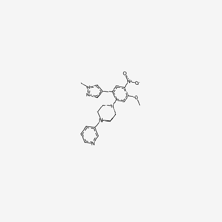 COc1cc(N2CCN(c3cccnc3)CC2)c(-c2cnn(C)c2)cc1[N+](=O)[O-]